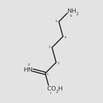 N=C(CCCCN)C(=O)O